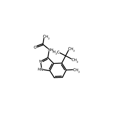 CC(=O)Nc1n[nH]c2ccc(C)c(C(C)(C)C)c12